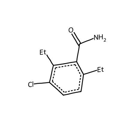 CCc1ccc(Cl)c(CC)c1C(N)=O